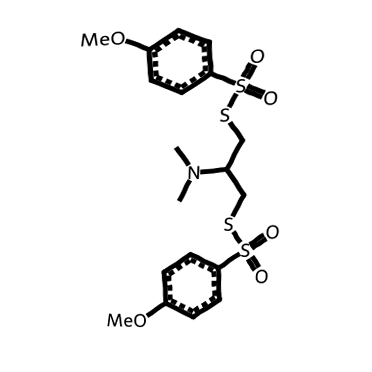 COc1ccc(S(=O)(=O)SCC(CSS(=O)(=O)c2ccc(OC)cc2)N(C)C)cc1